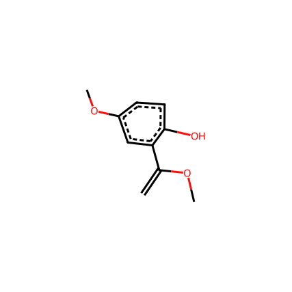 C=C(OC)c1cc(OC)ccc1O